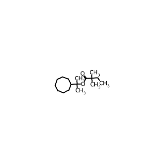 CCC(C)(C)C(=O)OC(C)(C)C1CCCCCCC1